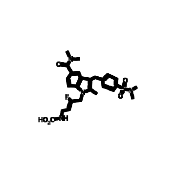 Cc1c(Cc2ccc(S(=O)(=O)N(C)C)cc2)c2cc(C(=O)N(C)C)ccc2n1CC(F)=CCNC(=O)O